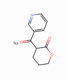 O=C1OCCCC1C(=O)c1cccnc1.[Na]